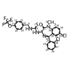 CN1C(=O)C(NC(=S)NCc2ccc(OC(F)(F)F)cc2)N=C(c2ccccc2Cl)c2cc(Cl)ccc21